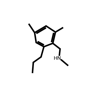 CCCc1cc(C)cc(C)c1CNC